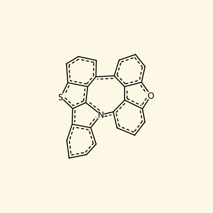 c1cc2oc3cccc4c3c2c(c1)c1cccc2sc3c5ccccc5n4c3c21